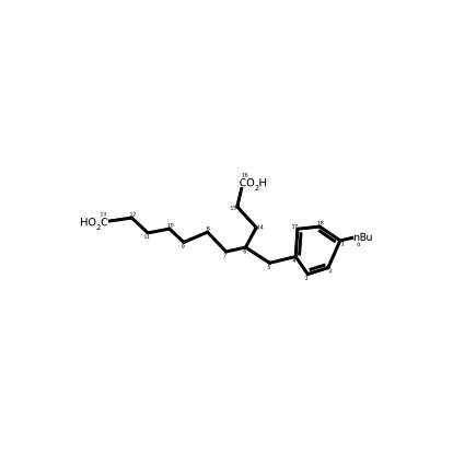 CCCCc1ccc(CC(CCCCCCC(=O)O)CCC(=O)O)cc1